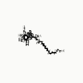 CCCCC/C=C\C/C=C\CCCCCCCCCC(=O)OCC(O)COP(=O)(O)OC1C(O)C(O)C(O)C(O)C1O